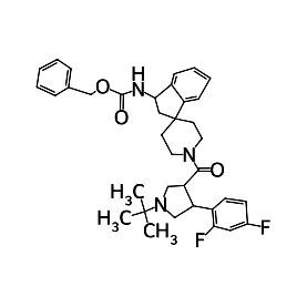 CC(C)(C)N1CC(C(=O)N2CCC3(CC2)CC(NC(=O)OCc2ccccc2)c2ccccc23)C(c2ccc(F)cc2F)C1